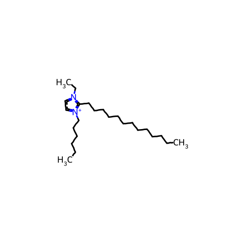 CCCCCCCCCCCCCc1n(CC)cc[n+]1CCCCCC